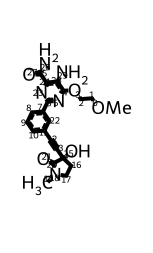 COCCOc1nc(-c2cccc(C#CC3(O)CCN(C)C3=O)c2)nc(C(N)=O)c1N